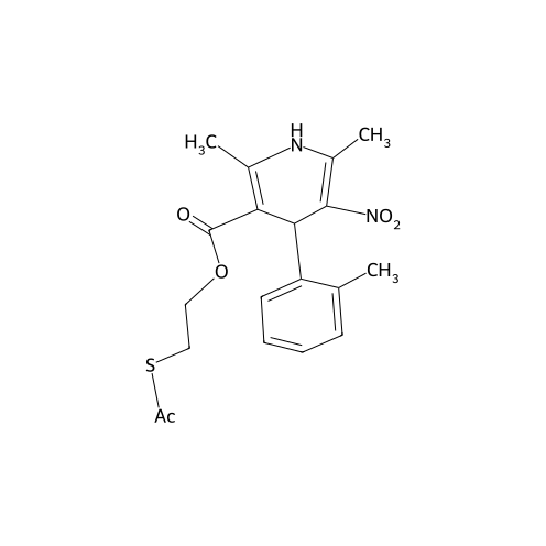 CC(=O)SCCOC(=O)C1=C(C)NC(C)=C([N+](=O)[O-])C1c1ccccc1C